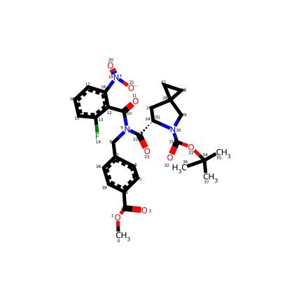 COC(=O)c1ccc(CN(C(=O)c2c(F)cccc2[N+](=O)[O-])C(=O)[C@@H]2CC3(CC3)CN2C(=O)OC(C)(C)C)cc1